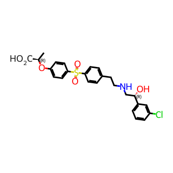 C[C@@H](Oc1ccc(S(=O)(=O)c2ccc(CCNC[C@H](O)c3cccc(Cl)c3)cc2)cc1)C(=O)O